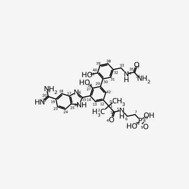 CC(C)(C(=O)NCCP(=O)(O)O)c1cc(-c2nc3cc(C(=N)N)ccc3[nH]2)c(O)c(-c2cc(CNC(N)=O)ccc2O)c1